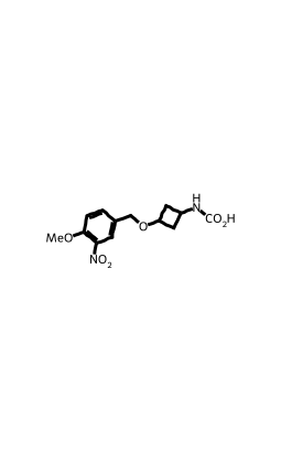 COc1ccc(COC2CC(NC(=O)O)C2)cc1[N+](=O)[O-]